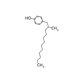 CCCCCCCCCCC(C)Cc1ccc(O)cc1